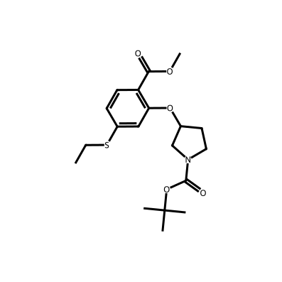 CCSc1ccc(C(=O)OC)c(OC2CCN(C(=O)OC(C)(C)C)C2)c1